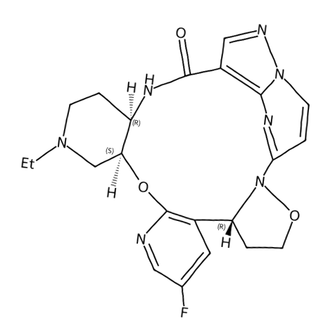 CCN1CC[C@H]2NC(=O)c3cnn4ccc(nc34)N3OCC[C@@H]3c3cc(F)cnc3O[C@H]2C1